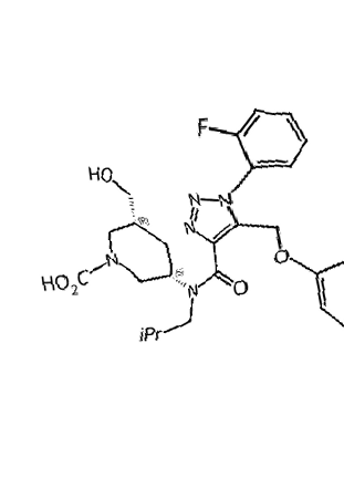 CC(C)CN(C(=O)c1nnn(-c2ccccc2F)c1COc1ccccc1)[C@H]1C[C@@H](CO)CN(C(=O)O)C1